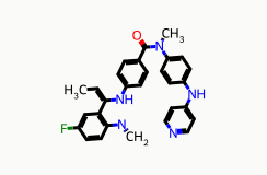 C=Nc1ccc(F)cc1/C(=C\C)Nc1ccc(C(=O)N(C)c2ccc(Nc3ccncc3)cc2)cc1